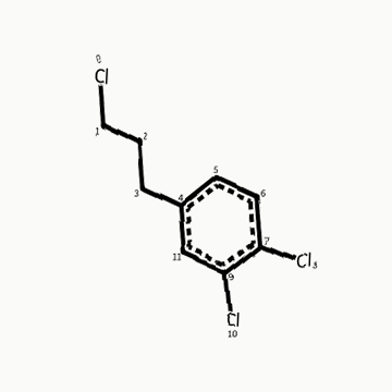 ClCCCc1ccc(Cl)c(Cl)c1